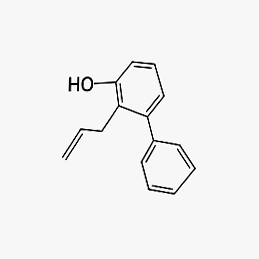 C=CCc1c(O)cccc1-c1ccccc1